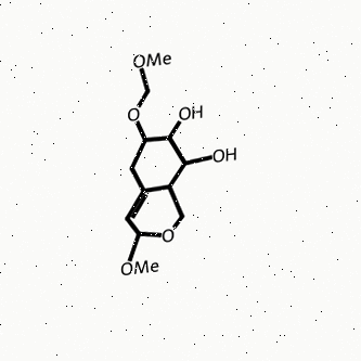 COCOC1CC2=CC(OC)OCC2C(O)C1O